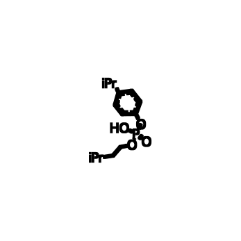 CC(C)CCOP(=O)(O)Oc1ccc(C(C)C)cc1